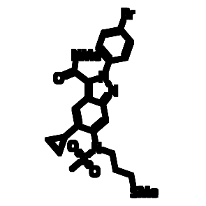 CNC(=O)c1c2cc(C3CC3)c(N(CCCSC)S(C)(=O)=O)cc2nn1-c1ccc(Br)cc1